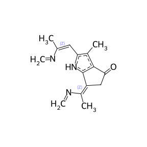 C=N/C(C)=C\c1[nH]c2c(c1C)C(=O)C/C2=C(\C)N=C